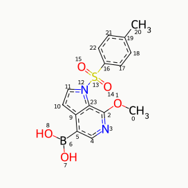 COc1ncc(B(O)O)c2ccn(S(=O)(=O)c3ccc(C)cc3)c12